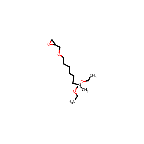 CCO[Si](C)(CCCCCCOCC1CO1)OCC